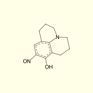 O=Nc1cc2c3c(c1O)CCCN3CCC2